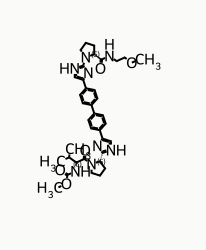 COCCNC(=O)[C@@H]1CCCN1c1nc(-c2ccc(-c3ccc(-c4c[nH]c([C@@H]5CCCN5C(=O)[C@@H](NC(=O)OC)C(C)C)n4)cc3)cc2)c[nH]1